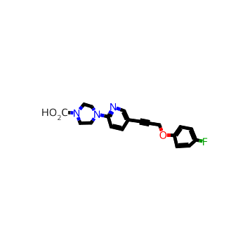 O=C(O)N1CCN(c2ccc(C#CCOc3ccc(F)cc3)cn2)CC1